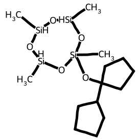 C[SiH]1O[SiH](C)O[Si](C)(OC2(C3CCCC3)CCCC2)O[SiH](C)O1